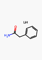 NC(=O)Cc1ccccc1.[LiH]